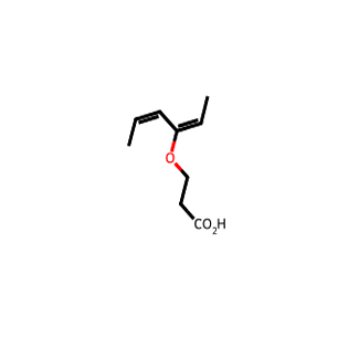 C/C=C\C(=C/C)OCCC(=O)O